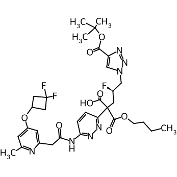 CCCCOC(=O)C(C[C@@H](F)Cn1cc(C(=O)OC(C)(C)C)nn1)(C(=O)O)c1ccc(NC(=O)Cc2cc(OC3CC(F)(F)C3)cc(C)n2)nn1